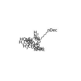 CCCCCCCCCCCCCCCCCC(=O)OC[C@H]1O[C@H](O)[C@H](NC(C)=O)[C@@H](OC(C)CN(C(=O)[C@H](C)N)[C@H](CCC(N)=O)C(=O)O)[C@@H]1O